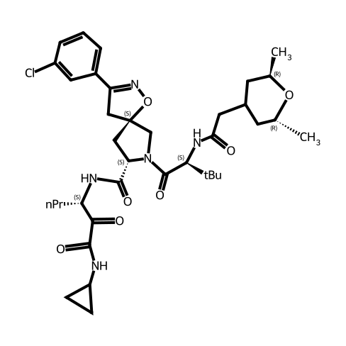 CCC[C@H](NC(=O)[C@@H]1C[C@]2(CC(c3cccc(Cl)c3)=NO2)CN1C(=O)[C@@H](NC(=O)CC1C[C@@H](C)O[C@H](C)C1)C(C)(C)C)C(=O)C(=O)NC1CC1